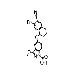 COc1nn(C(=O)O)c2ccc(OC3CCCc4cc(C#N)c(Br)nc43)cc12